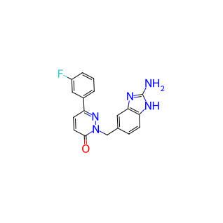 Nc1nc2cc(Cn3nc(-c4cccc(F)c4)ccc3=O)ccc2[nH]1